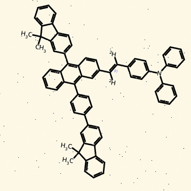 [2H]/C(=C(/[2H])c1ccc2c(-c3ccc4c(c3)C(C)(C)c3ccccc3-4)c3ccccc3c(-c3ccc(-c4ccc5c(c4)C(C)(C)c4ccccc4-5)cc3)c2c1)c1ccc(N(c2ccccc2)c2ccccc2)cc1